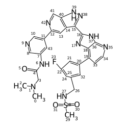 CN(C)CC(=O)Nc1cncc(-c2cc3c(-c4nc5c(-c6cc(F)cc(CNS(C)(=O)=O)c6)ccnc5[nH]4)n[nH]c3cn2)c1